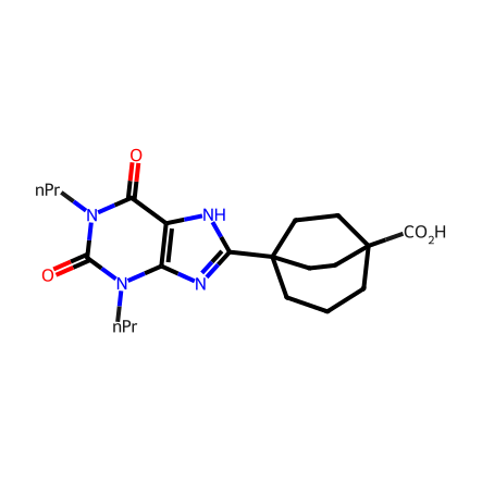 CCCn1c(=O)c2[nH]c(C34CCCC(C(=O)O)(CC3)CC4)nc2n(CCC)c1=O